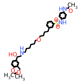 CC(=O)Nc1ccc(NS(=O)(=O)c2cccc(CCCCOCCCCCCNC[C@H](O)c3ccc4c(c3)COC(C)(C)O4)c2)cc1